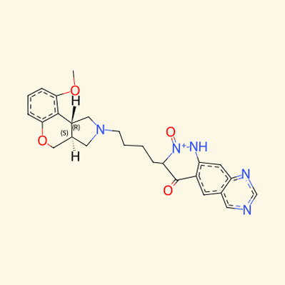 COc1cccc2c1[C@@H]1CN(CCCCC3C(=O)c4cc5cncnc5cc4N[N+]3=O)C[C@H]1CO2